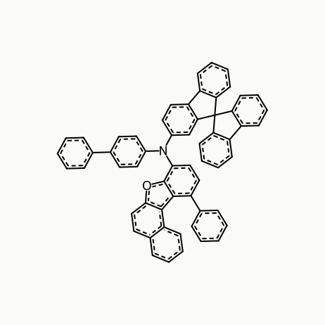 c1ccc(-c2ccc(N(c3ccc4c(c3)C3(c5ccccc5-c5ccccc53)c3ccccc3-4)c3ccc(-c4ccccc4)c4c3oc3ccc5ccccc5c34)cc2)cc1